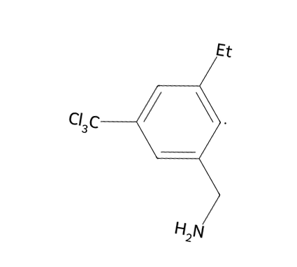 CCc1[c]c(CN)cc(C(Cl)(Cl)Cl)c1